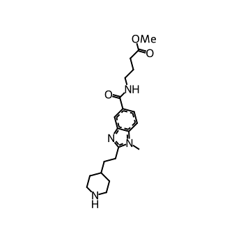 COC(=O)CCCNC(=O)c1ccc2c(c1)nc(CCC1CCNCC1)n2C